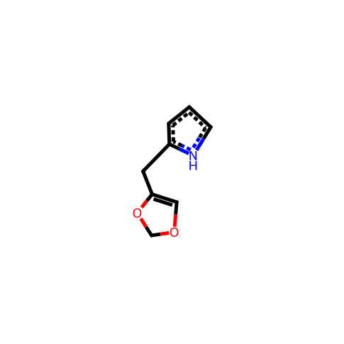 C1=C(Cc2ccc[nH]2)OCO1